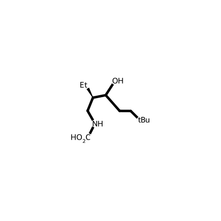 CC[C@H](CNC(=O)O)C(O)CCC(C)(C)C